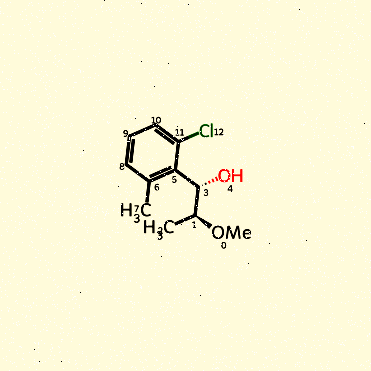 CO[C@@H](C)[C@@H](O)c1c(C)cccc1Cl